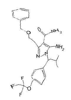 CC(C)C(c1ccc(OC(F)(F)F)cc1)n1nc(COCc2ccccc2)c(C(N)=O)c1N